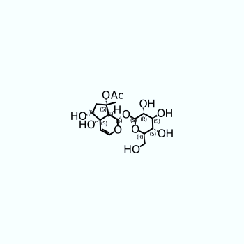 CC(=O)O[C@@]1(C)C[C@@H](O)[C@]2(O)C=CO[C@@H](O[C@@H]3O[C@H](CO)[C@@H](O)[C@H](O)[C@H]3O)[C@@H]21